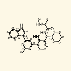 CC[C@H](C(=N)C(=O)[C@@H](NC(=O)[C@H](C)NC)C1CCCCC1)c1cc(-c2c[nH]c3ccccc23)nc(C)n1